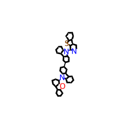 c1ccc2c(c1)oc1c(-n3c4ccccc4c4cc(-c5ccc6c(c5)c5ccccc5n6-c5nccc6c5sc5ccccc56)ccc43)cccc12